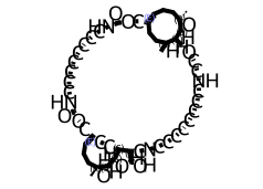 C[C@@H]1CC/C2=C\CC[C@@]3(C)O[C@H]3[C@H]1OCCNCCCCCCCCNC[C@@H]1C(=O)O[C@H]3[C@H]1CC/C(=C\CC[C@@]1(C)O[C@@H]31)COC(=O)NCCCCCCCCNC(=O)OC2